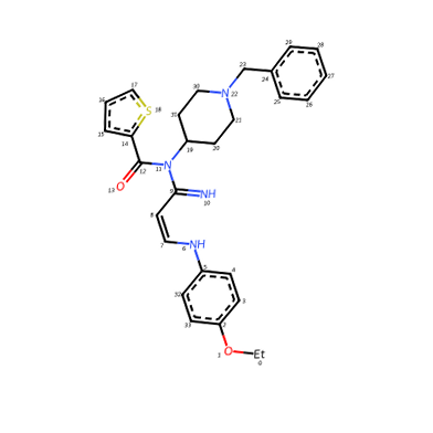 CCOc1ccc(N/C=C\C(=N)N(C(=O)c2cccs2)C2CCN(Cc3ccccc3)CC2)cc1